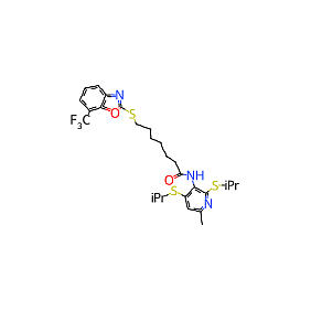 Cc1cc(SC(C)C)c(NC(=O)CCCCCCSc2nc3cccc(C(F)(F)F)c3o2)c(SC(C)C)n1